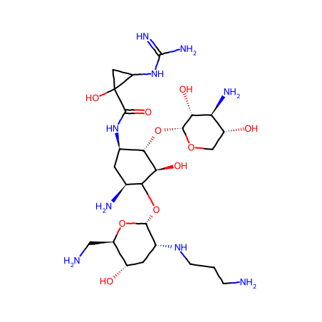 N=C(N)NC1CC1(O)C(=O)N[C@@H]1C[C@H](N)C(O[C@H]2O[C@H](CN)[C@@H](O)C[C@H]2NCCCN)[C@H](O)[C@H]1O[C@H]1OC[C@@H](O)[C@H](N)[C@H]1O